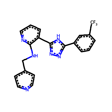 FC(F)(F)c1cccc(-c2nnc(-c3cccnc3NCc3ccncc3)[nH]2)c1